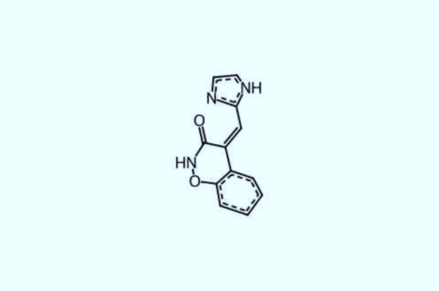 O=C1NOc2ccccc2C1=Cc1ncc[nH]1